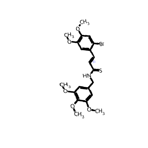 COc1cc(Br)c(/C=C/C(=S)NCc2cc(OC)c(OC)c(OC)c2)cc1OC